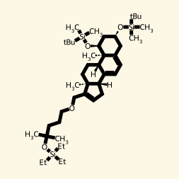 CC[Si](CC)(CC)OC(C)(C)CCCOCC1=CC[C@H]2C3=CC=C4C[C@@H](O[Si](C)(C)C(C)(C)C)C[C@H](O[Si](C)(C)C(C)(C)C)[C@]4(C)[C@H]3CC[C@]12C